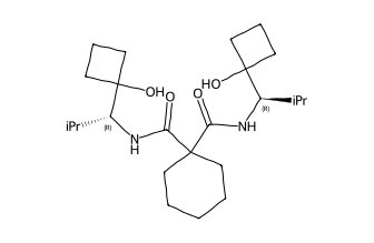 CC(C)[C@@H](NC(=O)C1(C(=O)N[C@H](C(C)C)C2(O)CCC2)CCCCC1)C1(O)CCC1